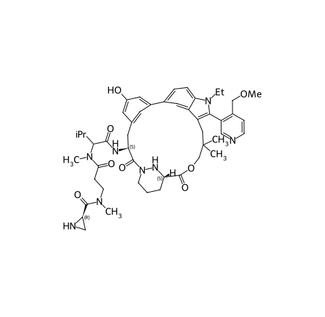 CCn1c(-c2cnccc2COC)c2c3cc(ccc31)-c1cc(O)cc(c1)C[C@H](NC(=O)C(C(C)C)N(C)C(=O)CCN(C)C(=O)[C@H]1CN1)C(=O)N1CCC[C@H](N1)C(=O)OCC(C)(C)C2